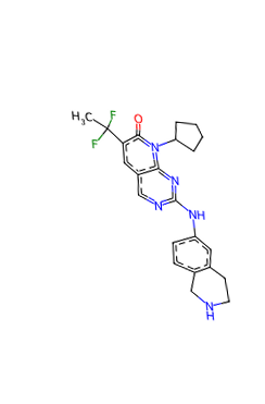 CC(F)(F)c1cc2cnc(Nc3ccc4c(c3)CCNC4)nc2n(C2CCCC2)c1=O